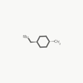 CC(C)(C)C[C@H]1CC[C@H](C)CC1